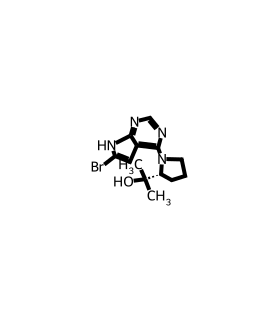 CC(C)(O)[C@H]1CCCN1c1ncnc2[nH]c(Br)cc12